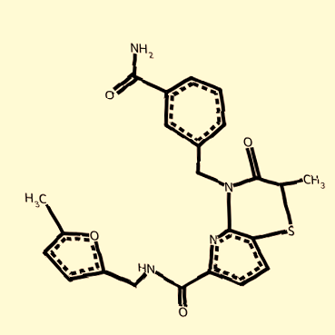 Cc1ccc(CNC(=O)c2ccc3c(n2)N(Cc2cccc(C(N)=O)c2)C(=O)C(C)S3)o1